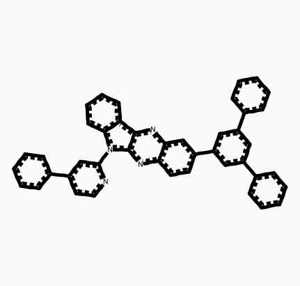 c1ccc(-c2cc(-c3ccccc3)cc(-c3ccc4nc5c(nc4c3)c3ccccc3n5-c3cc(-c4ccccc4)ccn3)c2)cc1